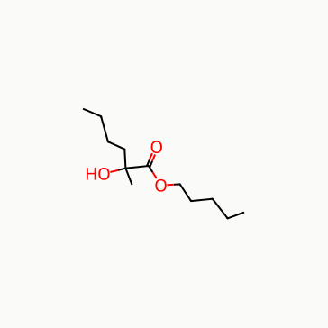 CCCCCOC(=O)C(C)(O)CCCC